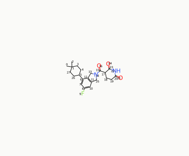 CC1(C)CCC(c2cc(F)cc3c2CN(C(=O)C2CCC(=O)NC2=O)C3)CC1